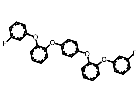 Fc1cccc(Oc2ccccc2Oc2ccc(Oc3ccccc3Oc3cccc(F)c3)cc2)c1